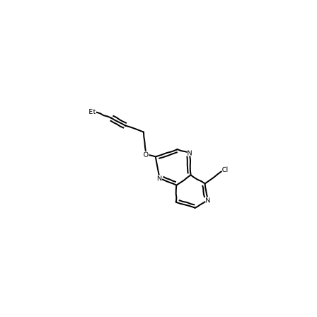 CCC#CCOc1cnc2c(Cl)nccc2n1